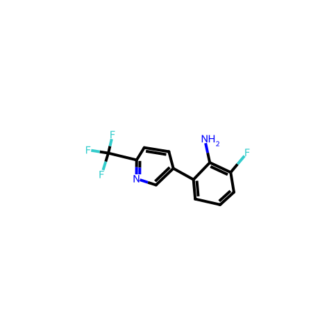 Nc1c(F)cccc1-c1ccc(C(F)(F)F)nc1